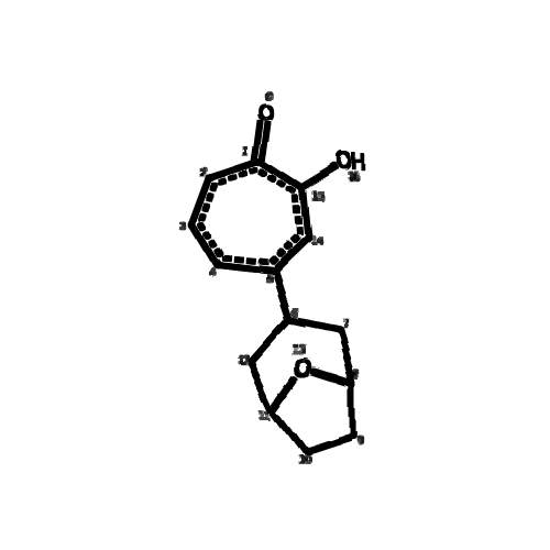 O=c1cccc(C2CC3CCC(C2)O3)cc1O